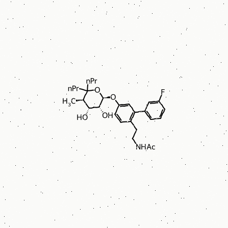 CCCC1(CCC)O[C@@H](Oc2ccc(CCNC(C)=O)c(-c3cccc(F)c3)c2)[C@H](O)[C@H](O)[C@H]1C